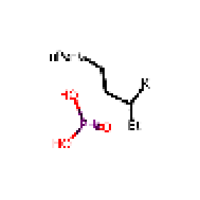 CCCCCCC[CH]([K])CC.O=[PH](O)O